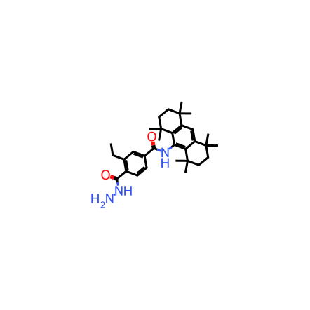 CCc1cc(C(=O)Nc2c3c(cc4c2C(C)(C)CCC4(C)C)C(C)(C)CCC3(C)C)ccc1C(=O)NN